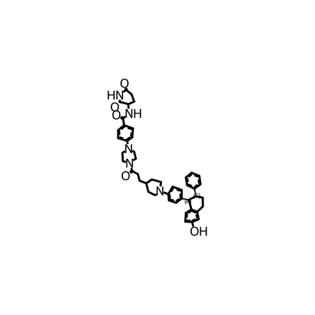 O=C1CCC(NC(=O)c2ccc(N3CCN(C(=O)CCC4CCN(c5ccc([C@@H]6c7ccc(O)cc7CC[C@@H]6c6ccccc6)cc5)CC4)CC3)cc2)C(=O)N1